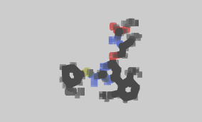 Cc1cccc(C)c1-c1cc(OCC(CC(C)C)NC(=O)OC(C)(C)C)nc(NSc2cccc(C(=O)O)c2)n1